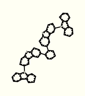 c1ccc(-c2ccc3sc4ccc(-n5c6ccccc6c6ccccc65)cc4c3c2)c(-c2ccc3sc4ccc(-n5c6ccccc6c6ccccc65)cc4c3c2)c1